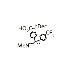 CCCCCCCCCCCC(=O)O.CNCCC(Oc1ccc(C(F)(F)F)cc1)c1ccccc1